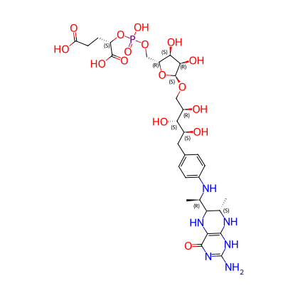 C[C@@H]1Nc2[nH]c(N)nc(=O)c2NC1[C@@H](C)Nc1ccc(C[C@H](O)[C@H](O)[C@H](O)CO[C@H]2O[C@H](COP(=O)(O)O[C@@H](CCC(=O)O)C(=O)O)[C@@H](O)[C@H]2O)cc1